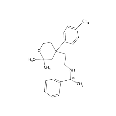 Cc1ccc(C2(CCN[C@H](C)c3ccccc3)CCOC(C)(C)C2)cc1